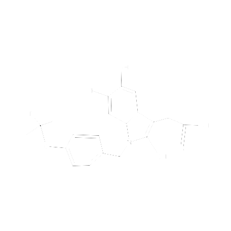 Cc1c(CC(=O)O)c2cc(O)c(Cl)cc2n1Cc1ccc(OC(F)(F)F)cc1